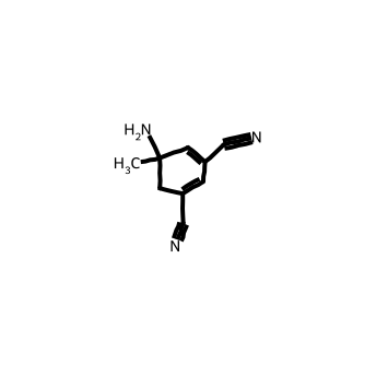 CC1(N)C=C(C#N)C=C(C#N)C1